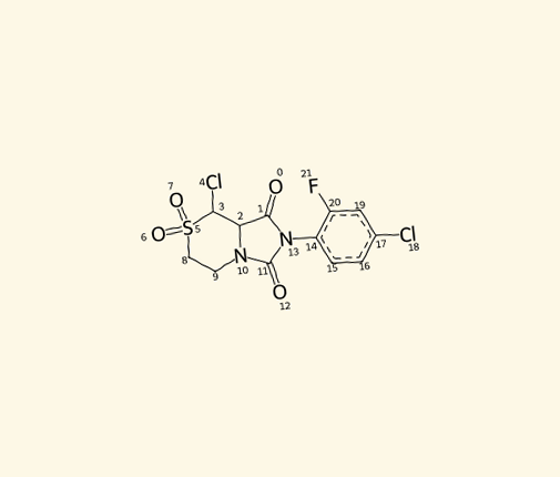 O=C1C2C(Cl)S(=O)(=O)CCN2C(=O)N1c1ccc(Cl)cc1F